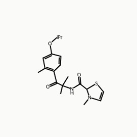 Cc1cc(OC(C)C)ccc1C(=O)C(C)(C)NC(=O)C1SC=CN1C